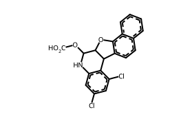 O=C(O)OC1Nc2cc(Cl)cc(Cl)c2C2c3ccc4ccccc4c3OC12